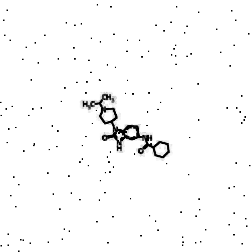 CC(C)N1CCC(n2c(=O)[nH]c3cc(NC(=O)C4CCCCC4)ccc32)CC1